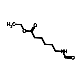 CCOC(=O)CCCCCN[C]=O